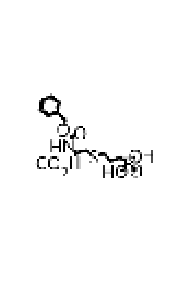 O=C(NC(CSCCCP(=O)(O)O)C(=O)O)OCc1ccccc1